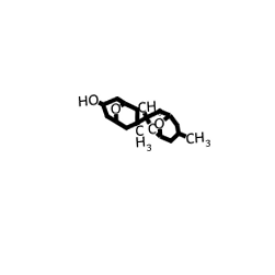 CC1CC2CC(C)(C3(C)CC4CC(O)CC(C3)O4)CC(C1)O2